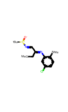 CNc1ccc(Cl)cc1/N=C(/C=N/[S@+]([O-])C(C)(C)C)COC